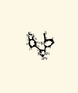 Cc1cccc(-c2[nH]c(C(C)C)nc2-c2ccc3nsnc3c2)n1